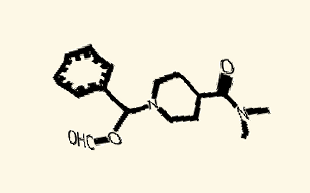 CN(C)C(=O)C1CCN(C(OC=O)c2ccccc2)CC1